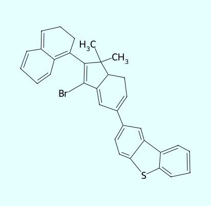 CC1(C)C(C2=c3ccccc3=CCC2)=C(Br)C2=CC(c3ccc4sc5ccccc5c4c3)=CCC21